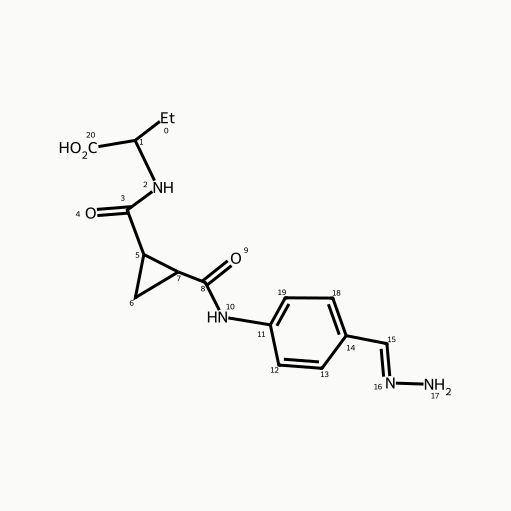 CCC(NC(=O)C1CC1C(=O)Nc1ccc(C=NN)cc1)C(=O)O